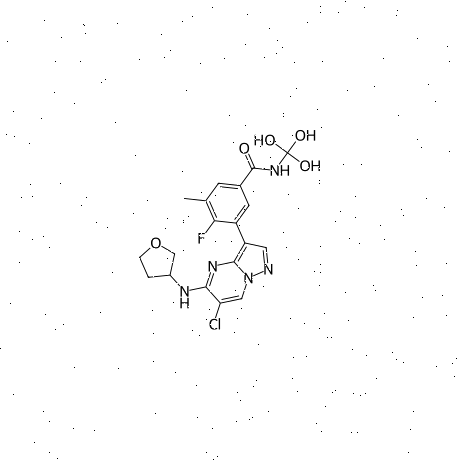 Cc1cc(C(=O)NC(O)(O)O)cc(-c2cnn3cc(Cl)c(NC4CCOC4)nc23)c1F